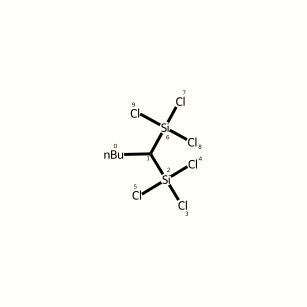 CCCCC([Si](Cl)(Cl)Cl)[Si](Cl)(Cl)Cl